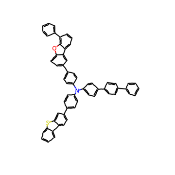 c1ccc(-c2ccc(-c3ccc(N(c4ccc(-c5ccc6c(c5)sc5ccccc56)cc4)c4ccc(-c5ccc6oc7c(-c8ccccc8)cccc7c6c5)cc4)cc3)cc2)cc1